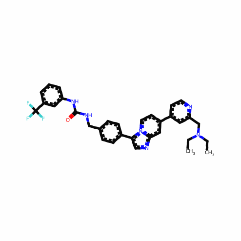 CCN(CC)Cc1cc(-c2ccn3c(-c4ccc(CNC(=O)Nc5cccc(C(F)(F)F)c5)cc4)cnc3c2)ccn1